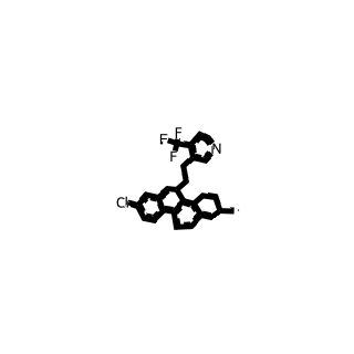 [CH2]C1C=c2ccc3c(c2CC1)C(CCc1cnccc1C(F)(F)F)C=c1cc(Cl)ccc1=3